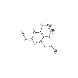 [O]CC(CN(CCO)CCO)OCCO